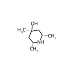 C[C@@H]1C[C@@](C)(O)C[C@H](C)N1